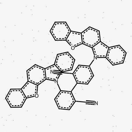 N#Cc1cc(-n2c3ccccc3c3ccc4c5ccccc5oc4c32)ccc1-c1c(C#N)cccc1-n1c2ccccc2c2ccc3c4ccccc4oc3c21